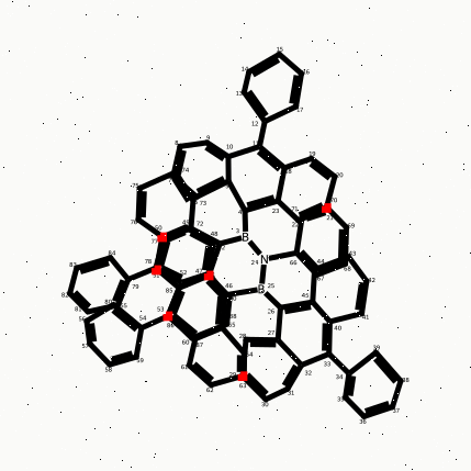 C1=c2c(B(c3c4ccccc4c(-c4ccccc4)c4ccccc34)N(B(c3c4ccccc4c(-c4ccccc4)c4ccccc34)c3c4ccccc4c(-c4ccccc4)c4ccccc34)c3ccccc3)c3ccccc3c(-c3ccccc3)c2=CCC1